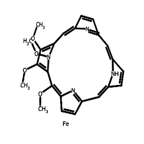 COc1c(OC)c2c(OC)c3nc(cc4ccc(cc5nc(cc1n2OC)C=C5)[nH]4)C=C3.[Fe]